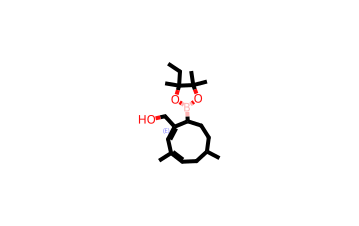 CCC1(C)OB(C2CCC(C)CC=C(C)/C=C\2CO)OC1(C)C